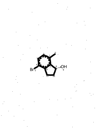 Cc1ccc(Br)c2c1[C@H](O)CC2